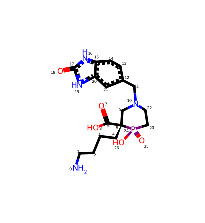 NCCCC[C@@]1(C(=O)O)CN(Cc2ccc3[nH]c(=O)[nH]c3c2)CCP1(=O)O